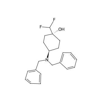 O[C@]1(C(F)F)CC[C@@H](N(Cc2ccccc2)Cc2ccccc2)CC1